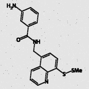 CSSc1ccc(CNC(=O)c2cccc(N)c2)c2cccnc12